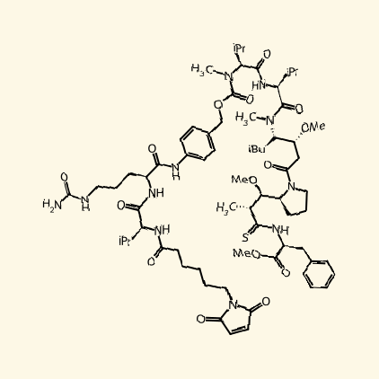 CC[C@H](C)[C@@H]([C@@H](CC(=O)N1CCC[C@H]1[C@H](OC)[C@@H](C)C(=S)N[C@@H](Cc1ccccc1)C(=O)OC)OC)N(C)C(=O)[C@@H](NC(=O)[C@H](C(C)C)N(C)C(=O)OCc1ccc(NC(=O)[C@H](CCCNC(N)=O)NC(=O)[C@@H](NC(=O)CCCCCN2C(=O)C=CC2=O)C(C)C)cc1)C(C)C